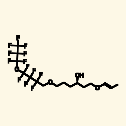 CC=COCC[C@H](O)CCCOCC(F)(F)C(F)(F)C(F)(F)OC(F)(F)C(F)(F)C(F)(F)F